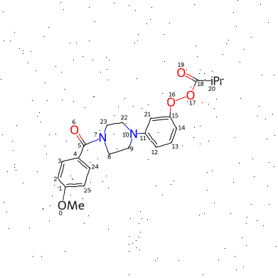 COc1ccc(C(=O)N2CCN(c3cccc(OOC(=O)C(C)C)c3)CC2)cc1